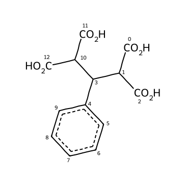 O=C(O)C(C(=O)O)C(c1ccccc1)C(C(=O)O)C(=O)O